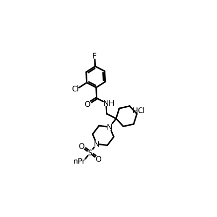 CCCS(=O)(=O)N1CCN(C2(CNC(=O)c3ccc(F)cc3Cl)CCCCC2)CC1.Cl